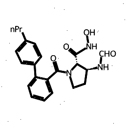 CCCc1ccc(-c2ccccc2C(=O)N2CC[C@H](NC=O)[C@H]2C(=O)NO)cc1